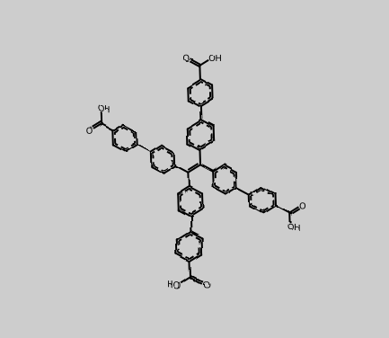 O=C(O)c1ccc(-c2ccc(C(=C(c3ccc(-c4ccc(C(=O)O)cc4)cc3)c3ccc(-c4ccc(C(=O)O)cc4)cc3)c3ccc(-c4ccc(C(=O)O)cc4)cc3)cc2)cc1